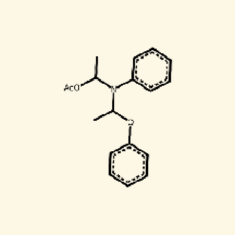 CC(=O)OC(C)N(c1ccccc1)C(C)Oc1ccccc1